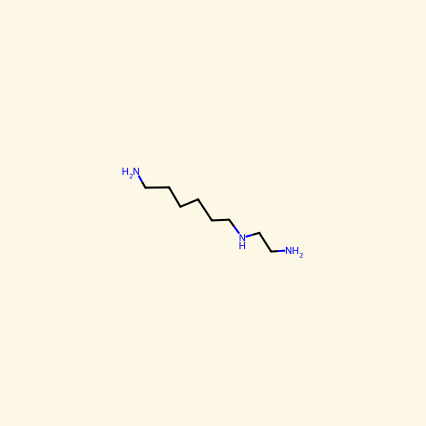 NCCCCCCNCCN